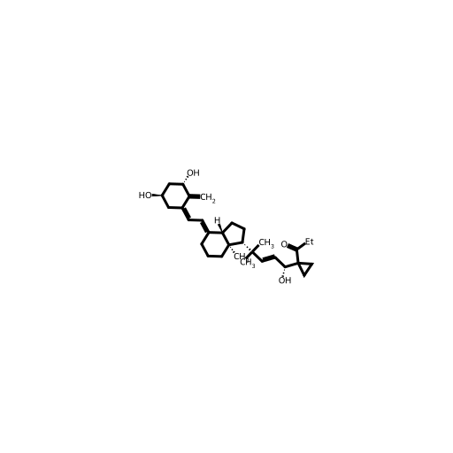 C=C1/C(=C\C=C2/CCC[C@]3(C)[C@@H](C(C)(C)/C=C/[C@@H](O)C4(C(=O)CC)CC4)CC[C@@H]23)C[C@@H](O)C[C@@H]1O